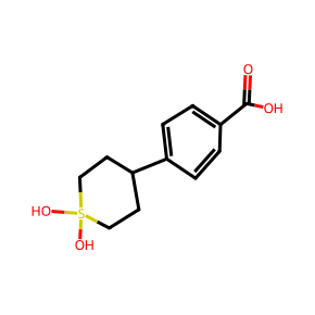 O=C(O)c1ccc(C2CCS(O)(O)CC2)cc1